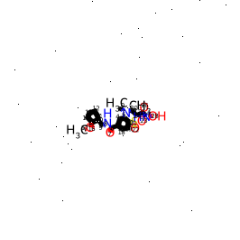 CCN1c2cc(C(=O)NCc3ccccc3OC)ccc2S(=O)(=O)C(C(=O)NO)C1C